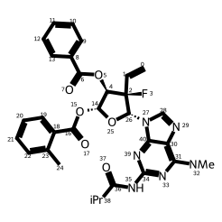 C=C[C@@]1(F)[C@H](OC(=O)c2ccccc2)[C@@H](OC(=O)c2ccccc2C)O[C@H]1n1cnc2c(NC)nc(NC(=O)C(C)C)nc21